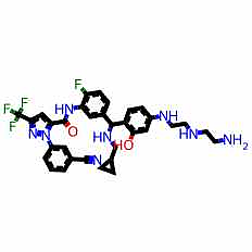 N#Cc1cccc(-n2nc(C(F)(F)F)cc2C(=O)Nc2cc(C(NCC3CC3)c3ccc(NCCNCCN)cc3O)ccc2F)c1